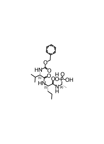 CCC[C@H](NC(=O)[C@@H](NC(=O)OCc1ccccc1)C(C)C)C(=O)N[C@@H](C)P(=O)(O)O